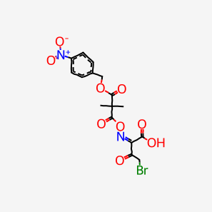 CC(C)(C(=O)OCc1ccc([N+](=O)[O-])cc1)C(=O)ON=C(C(=O)O)C(=O)CBr